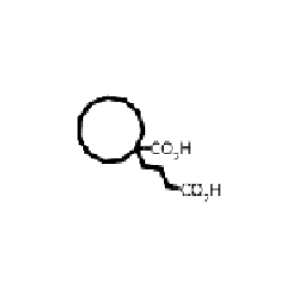 O=C(O)CCCC1(C(=O)O)CCCCCCCCCC1